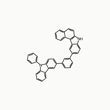 c1ccc(-n2c3ccccc3c3cc(-c4cccc(-c5ccc6[nH]c7ccc8ccccc8c7c6c5)c4)ccc32)cc1